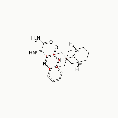 N=C(C(N)=O)c1nc2ccccc2n([C@H]2C[C@H]3CCC[C@@H](C2)N3C2CC3CCCC(C3)C2)c1=O